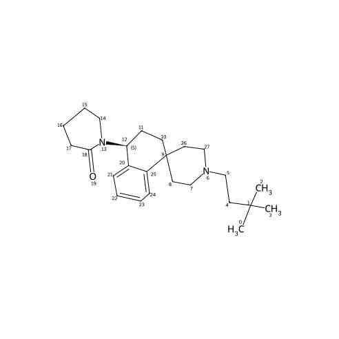 CC(C)(C)CCN1CCC2(CC[C@H](N3CCCCC3=O)c3ccccc32)CC1